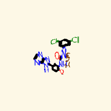 COc1ccc(-c2nc3nccnc3[nH]2)cc1NC(=O)N(S)c1cc(Cl)cc(Cl)c1